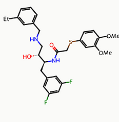 CCc1cccc(CNC[C@@H](O)[C@H](Cc2cc(F)cc(F)c2)NC(=O)CSc2ccc(OC)c(OC)c2)c1